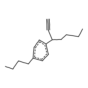 [C]#CC(CCCC)c1ccc(CCCC)cc1